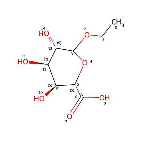 CCOC1O[C@H](C(=O)O)[C@@H](O)[C@@H](O)[C@@H]1O